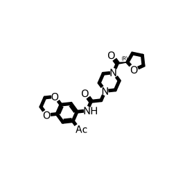 CC(=O)c1cc2c(cc1NC(=O)CN1CCN(C(=O)[C@H]3CCCO3)CC1)OCCO2